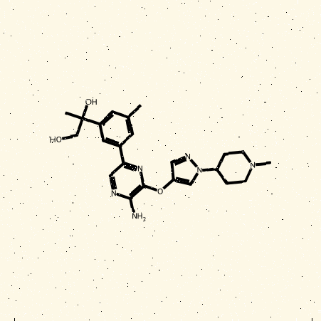 Cc1cc(-c2cnc(N)c(Oc3cnn(C4CCN(C)CC4)c3)n2)cc(C(C)(O)CO)c1